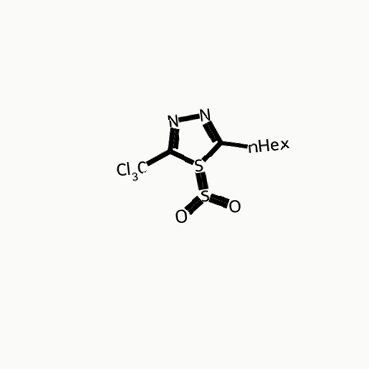 CCCCCCC1=NN=C(C(Cl)(Cl)Cl)S1=S(=O)=O